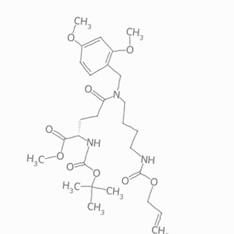 C=CCOC(=O)NCCCCN(Cc1ccc(OC)cc1OC)C(=O)CC[C@H](NC(=O)OC(C)(C)C)C(=O)OC